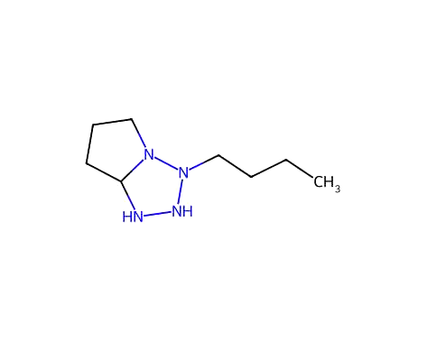 CCCCN1NNC2CCCN21